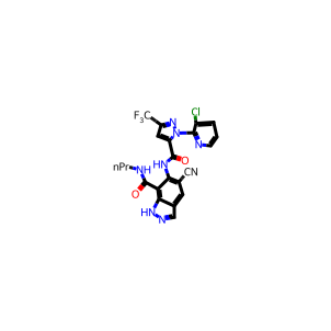 CCCNC(=O)c1c(NC(=O)c2cc(C(F)(F)F)nn2-c2ncccc2Cl)c(C#N)cc2cn[nH]c12